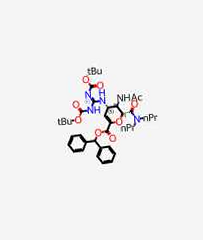 CCCN(CCC)C(=O)[C@@H]1OC(C(=O)OC(c2ccccc2)c2ccccc2)=C[C@H](N/C(=N\C(=O)OC(C)(C)C)NC(=O)OC(C)(C)C)[C@H]1NC(C)=O